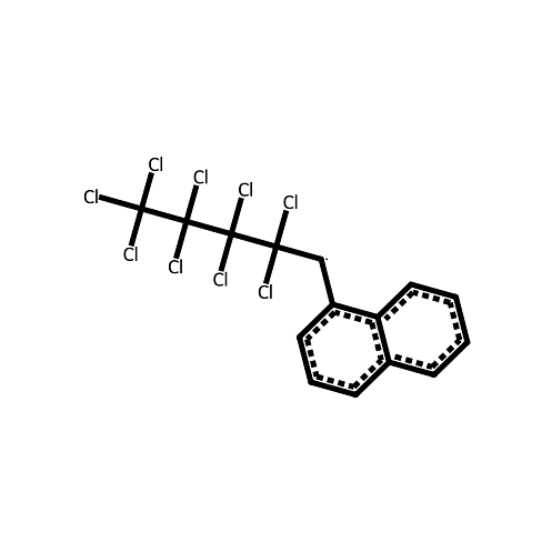 ClC(Cl)(Cl)C(Cl)(Cl)C(Cl)(Cl)C(Cl)(Cl)[CH]c1cccc2ccccc12